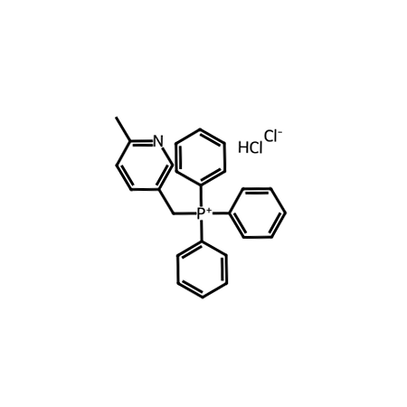 Cc1ccc(C[P+](c2ccccc2)(c2ccccc2)c2ccccc2)cn1.Cl.[Cl-]